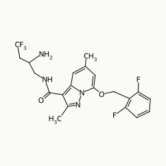 Cc1cc(OCc2c(F)cccc2F)n2nc(C)c(C(=O)NCC(N)CC(F)(F)F)c2c1